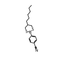 CCCCCCC1CSB(c2ccc(C#N)cc2)SC1